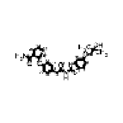 CC(C)(O)COc1ccc2sc(NC(=O)Cc3ccc(Oc4ncccc4C(N)=O)cc3)nc2c1